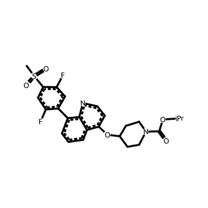 CC(C)OC(=O)N1CCC(Oc2ccnc3c(-c4cc(F)c(S(C)(=O)=O)cc4F)cccc23)CC1